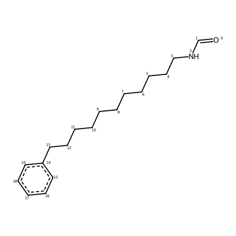 O=CNCCCCCCCCCCCc1ccccc1